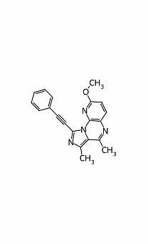 COc1ccc2nc(C)c3c(C)nc(C#Cc4ccccc4)n3c2n1